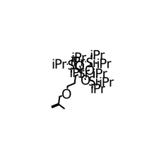 C=C(C)COCCC[Si](O[Si](C(C)C)(C(C)C)C(C)C)(O[Si](C(C)C)(C(C)C)C(C)C)O[Si](C(C)C)(C(C)C)C(C)C